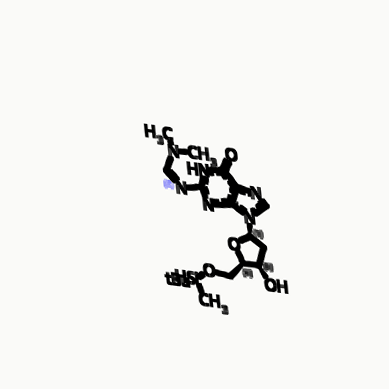 CN(C)/C=N\c1nc2c(ncn2[C@H]2C[C@@H](O)[C@@H](CO[SiH](C)C(C)(C)C)O2)c(=O)[nH]1